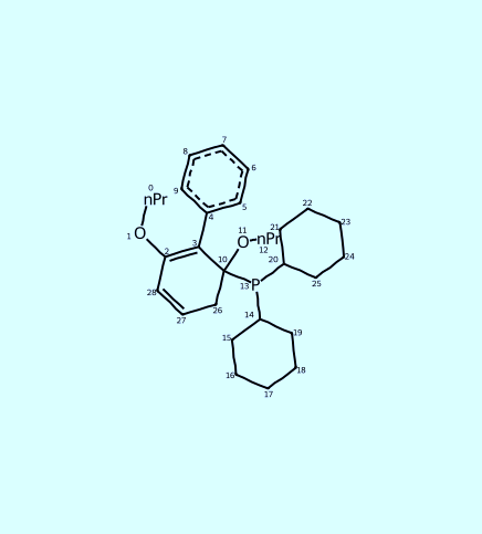 CCCOC1=C(c2ccccc2)C(OCCC)(P(C2CCCCC2)C2CCCCC2)CC=C1